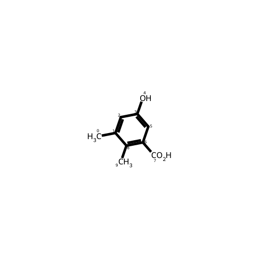 Cc1cc(O)cc(C(=O)O)c1C